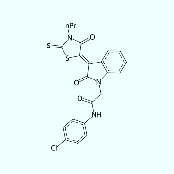 CCCN1C(=O)/C(=C2/C(=O)N(CC(=O)Nc3ccc(Cl)cc3)c3ccccc32)SC1=S